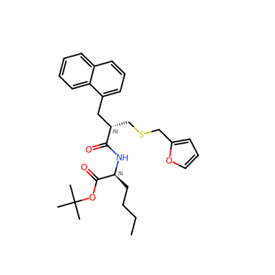 CCCC[C@H](NC(=O)[C@@H](CSCc1ccco1)Cc1cccc2ccccc12)C(=O)OC(C)(C)C